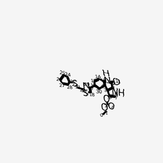 CCOC(=O)Oc1c[nH]c2c(=O)[nH]c3ccc(-c4csc(CSc5ccccc5)n4)cc3c12